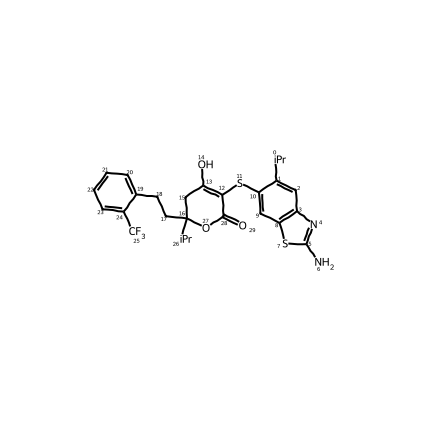 CC(C)c1cc2nc(N)sc2cc1SC1=C(O)CC(CCc2ccccc2C(F)(F)F)(C(C)C)OC1=O